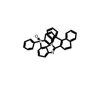 O=P(c1ccccc1)(c1ccccc1)c1cccc2nc3c4ccc5ccccc5c4c4ccccc4n3c12